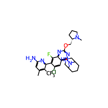 Cc1cc(N)nc(-c2c(Cl)cc3c(N4C5CCCC4CNC5)nc(OC[C@@H]4CCCN4C)nc3c2F)c1C(F)(F)F